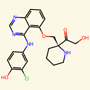 O=C(CO)[C@@]1(COc2cccc3ncnc(Nc4ccc(O)c(Cl)c4)c23)CCCCN1